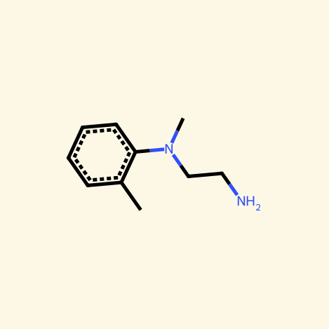 Cc1ccccc1N(C)CCN